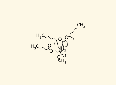 CCCCCC(=O)Oc1ccc(C[C@](N)(CCOC(=O)CCCC)C(=O)OC)cc1OC(=O)CCCCC